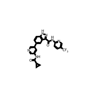 O=C(Nc1ccc(C(F)(F)F)cn1)c1n[nH]c2ccc(-c3cncc(NC(=O)C4CC4)c3)cc12